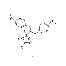 COC(=O)C1(S(=O)(=O)N(Cc2ccc(OC)cc2)Cc2ccc(OC)cc2)CC1